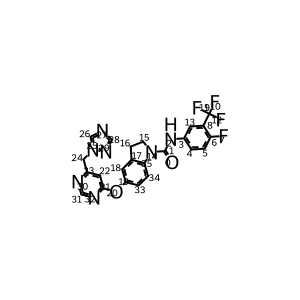 O=C(Nc1ccc(F)c(C(F)(F)F)c1)N1CCc2cc(Oc3cc(Cn4cncn4)ncn3)ccc21